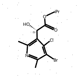 Cc1nc(C)c([C@H](O)C(=O)OC(C)C)c(Cl)c1Br